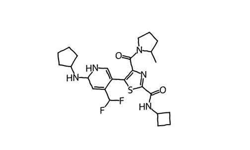 CC1CCCN1C(=O)c1nc(C(=O)NC2CCC2)sc1C1=CNC(NC2CCCC2)C=C1C(F)F